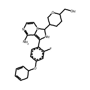 NC1=NC=CN2C1=C(c1ccc(OC3C=CC=CC3)cc1F)NC2C1CCC(CO)OC1